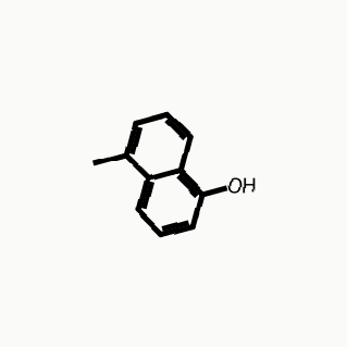 Cc1cccc2c(O)cccc12